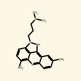 CC(=O)Oc1ccc2nc3c([N+](=O)[O-])ccc4c3c(c2c1)NN4CCCN(C)C